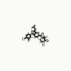 CC(C)Cc1nn(-c2ccc(Cl)c(F)c2)c2ccc(C(=O)N3CCNC(=O)C3(C)C)nc12